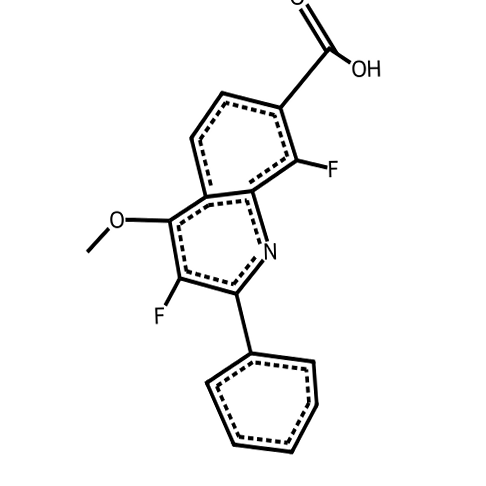 COc1c(F)c(-c2ccccc2)nc2c(F)c(C(=O)O)ccc12